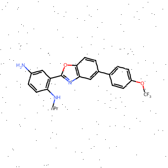 CCCNc1ccc(N)cc1-c1nc2cc(-c3ccc(OC(F)(F)F)cc3)ccc2o1